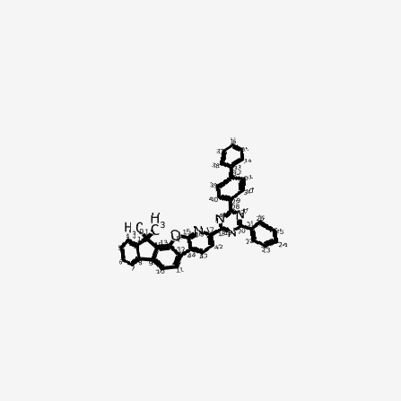 CC1(C)c2ccccc2-c2ccc3c(oc4nc(-c5nc(-c6ccccc6)nc(-c6ccc(-c7ccccc7)cc6)n5)ccc43)c21